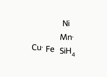 [Cu].[Fe].[Mn].[Ni].[SiH4]